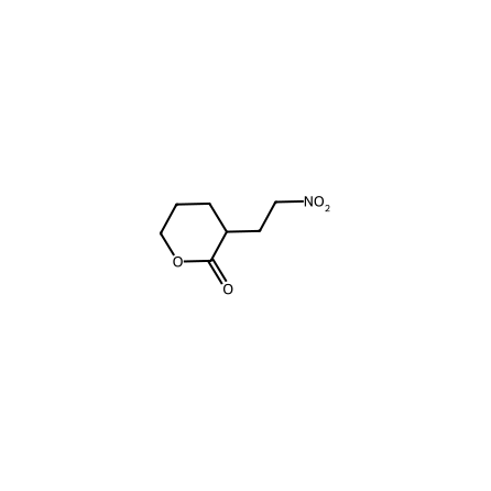 O=C1OCCCC1CC[N+](=O)[O-]